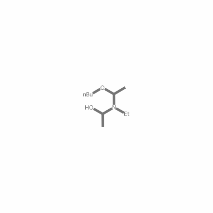 CCCCOC(C)N(CC)C(C)O